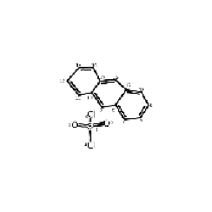 O=S(=O)(Cl)Cl.c1ccc2cc3ccccc3cc2c1